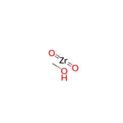 CO.[O]=[Zr]=[O]